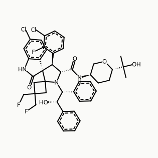 CC(C)(O)[C@@H]1CC[C@@H](NC(=O)[C@H]2[C@H](c3cccc(Cl)c3F)[C@]3(C(=O)Nc4cc(Cl)ccc43)C3(CC(CF)(CF)C3)N2[C@H](c2ccccc2)[C@@H](O)c2ccccc2)CO1